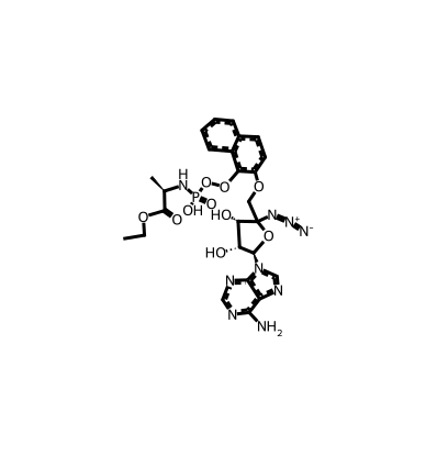 CCOC(=O)[C@@H](C)NP(=O)(O)OOc1c(OCC2(N=[N+]=[N-])O[C@@H](n3cnc4c(N)ncnc43)[C@H](O)[C@@H]2O)ccc2ccccc12